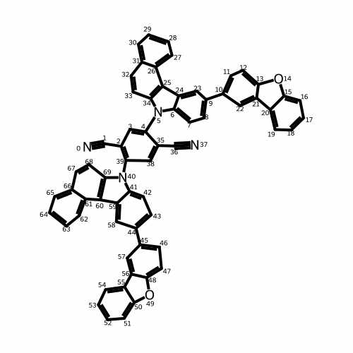 N#Cc1cc(-n2c3ccc(-c4ccc5oc6ccccc6c5c4)cc3c3c4ccccc4ccc32)c(C#N)cc1-n1c2ccc(-c3ccc4oc5ccccc5c4c3)cc2c2c3ccccc3ccc21